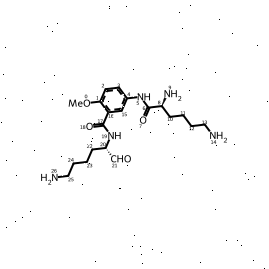 COc1ccc(NC(=O)[C@@H](N)CCCCN)cc1C(=O)N[C@H](C=O)CCCCN